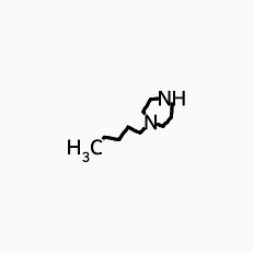 CCCCCN1CCCNCC1